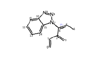 C=CC(=C)/C(=C\C)n1nnc2ccccc21